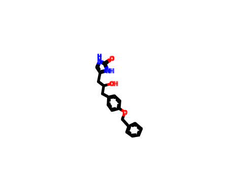 O=c1[nH]cc(CC(O)Cc2ccc(OCc3ccccc3)cc2)[nH]1